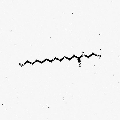 CCCCCCCCCCCCC(=O)OCCO